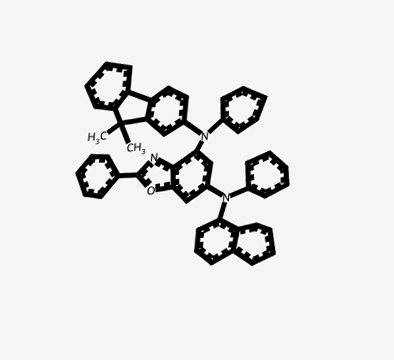 CC1(C)c2ccccc2-c2ccc(N(c3ccccc3)c3cc(N(c4ccccc4)c4cccc5ccccc45)cc4oc(-c5ccccc5)nc34)cc21